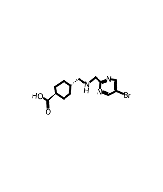 O=C(O)[C@H]1CC[C@H](CNCc2ncc(Br)cn2)CC1